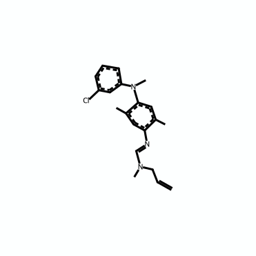 C=CCN(C)C=Nc1cc(C)c(N(C)c2cccc(Cl)c2)cc1C